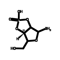 BC1OC(CO)[C@H]2OP(=O)(O)OC12